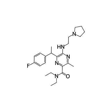 CCN(CC)C(=O)c1nc(C(C)c2ccc(F)cc2)c(NCCN2CCCC2)nc1C